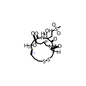 CS(=O)(=O)CC[C@H]1NC(=O)C[C@H]2/C=C/CCSSC[C@@H](NC1=O)C(=O)NC[C@@H](O)CC(=O)O2